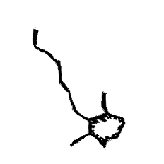 [CH]=CCCCCc1c(C)cccc1C